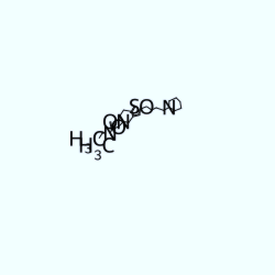 CCN(CC)C(=O)ON1CCc2sc(OCCCN3CCCCC3)cc2C1